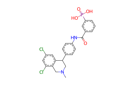 CN1Cc2c(Cl)cc(Cl)cc2C(c2ccc(NC(=O)c3cccc(P(=O)(O)O)c3)cc2)C1